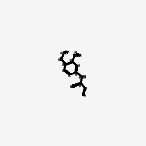 C=CC(=O)Nc1ccc(OCCC)c(OC)c1